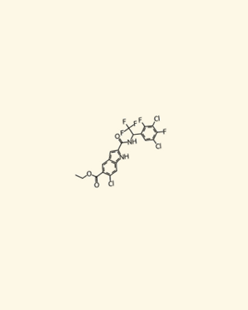 CCOC(=O)c1cc2cc(C(=O)NC(c3cc(Cl)c(F)c(Cl)c3F)C(F)(F)F)[nH]c2cc1Cl